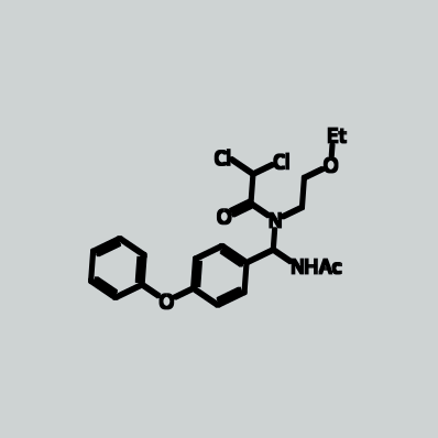 CCOCCN(C(=O)C(Cl)Cl)C(NC(C)=O)c1ccc(Oc2ccccc2)cc1